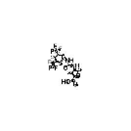 O=C(Nc1cc(C(F)(F)F)cc(C(F)(F)F)c1)Nc1coc(C(=O)O)c1